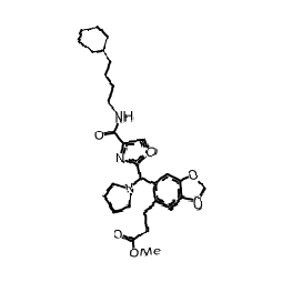 COC(=O)CCc1cc2c(cc1C(c1nc(C(=O)NCCCCC3CCCCC3)co1)N1CCCC1)OCO2